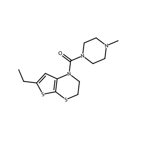 CCc1cc2c(s1)SCCN2C(=O)N1CCN(C)CC1